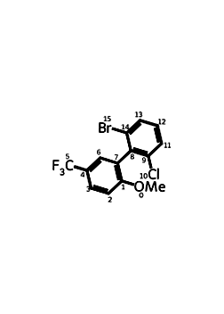 COc1ccc(C(F)(F)F)cc1-c1c(Cl)cccc1Br